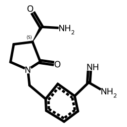 N=C(N)c1cccc(CN2CC[C@@H](C(N)=O)C2=O)c1